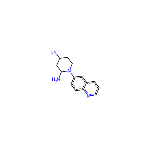 NC1CCN(c2ccc3ncccc3c2)C(N)C1